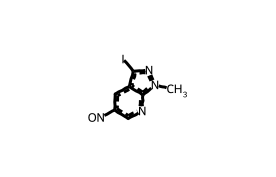 Cn1nc(I)c2cc(N=O)cnc21